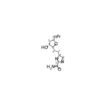 CCCC1C[C@@H](O)C(CCC2C=NC(C(N)=O)=N2)O1